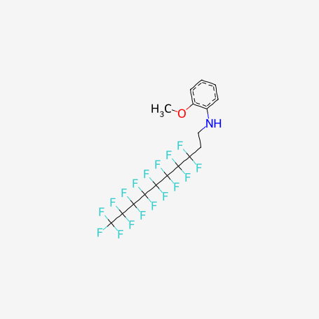 COc1ccccc1NCCC(F)(F)C(F)(F)C(F)(F)C(F)(F)C(F)(F)C(F)(F)C(F)(F)C(F)(F)F